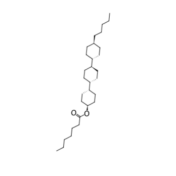 CCCCCCC(=O)O[C@H]1CC[C@H]([C@H]2CC[C@H]([C@H]3CC[C@H](CCCCC)CC3)CC2)CC1